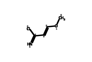 COC=CC(=N)Cl